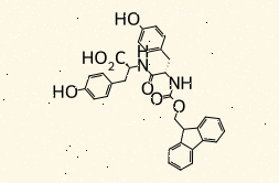 O=C(N[C@@H](Cc1ccc(O)cc1)C(=O)N[C@@H](Cc1ccc(O)cc1)C(=O)O)OCC1c2ccccc2-c2ccccc21